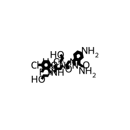 C[C@H](CO)N(CC(=O)N[C@@H](CCO)c1cccc(Cl)c1F)C(=O)Cn1nc(C(N)=O)c2cc(N)ccc21